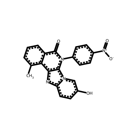 Cc1cccc2c(=O)n(-c3ccc([N+](=O)[O-])cc3)c3c(nc4ccc(O)cn43)c12